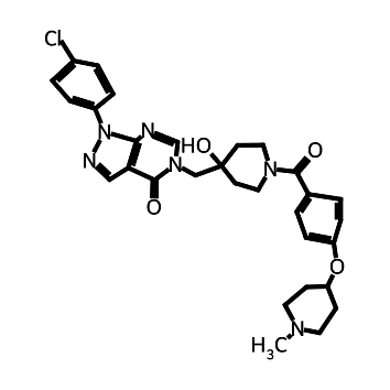 CN1CCC(Oc2ccc(C(=O)N3CCC(O)(Cn4cnc5c(cnn5-c5ccc(Cl)cc5)c4=O)CC3)cc2)CC1